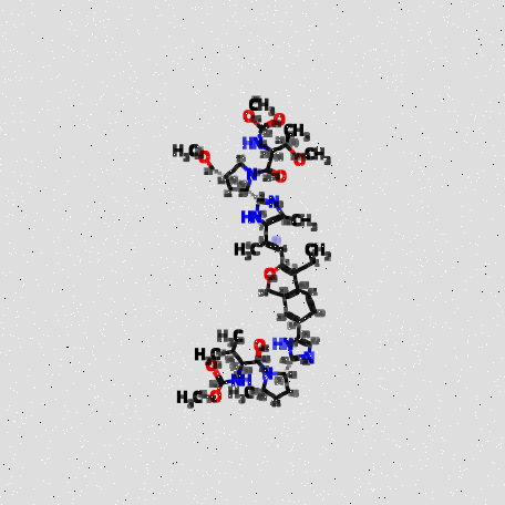 C=CC1=C(/C=C(\C)c2[nH]c([C@@H]3C[C@H](COC)CN3C(=O)[C@@H](NC(=O)OC)[C@@H](C)OC)nc2C)OCc2cc(-c3cnc([C@@H]4CC[C@H](C)N4C(=O)[C@@H](NC(=O)OC)C(C)C)[nH]3)ccc21